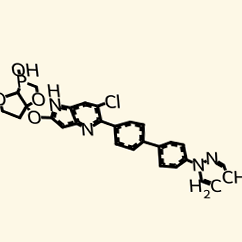 C=CN(/N=C\C)c1ccc(-c2ccc(-c3nc4cc(O[C@@]56CCOC5P(O)CO6)[nH]c4cc3Cl)cc2)cc1